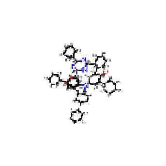 c1ccc(-c2ccc3c(c2)c2cc(-c4ccccc4)ccc2n3-c2cc(-c3ccccc3)c3oc4cccc(-c5nc(-c6ccccc6)nc(-c6ccccc6)n5)c4c3c2)cc1